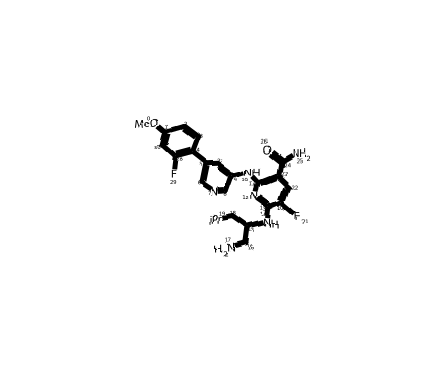 COc1ccc(-c2cncc(Nc3nc(NC(CN)CC(C)C)c(F)cc3C(N)=O)c2)c(F)c1